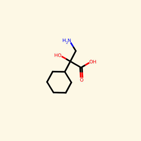 NCC(O)(C(=O)O)C1CCCCC1